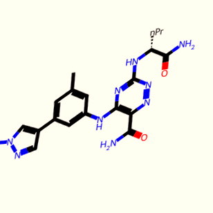 CCC[C@@H](Nc1nnc(C(N)=O)c(Nc2cc(C)cc(-c3cnn(C)c3)c2)n1)C(N)=O